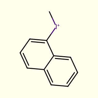 C[I+]c1cccc2ccccc12